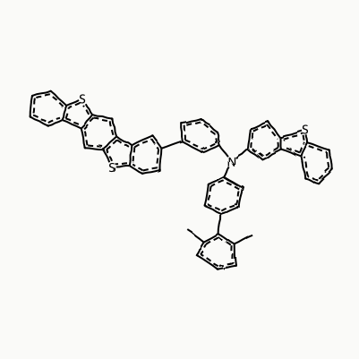 Cc1cccc(C)c1-c1ccc(N(c2cccc(-c3ccc4sc5cc6c(cc5c4c3)sc3ccccc36)c2)c2ccc3sc4ccccc4c3c2)cc1